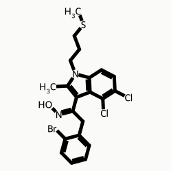 CSCCCn1c(C)c(C(Cc2ccccc2Br)=NO)c2c(Cl)c(Cl)ccc21